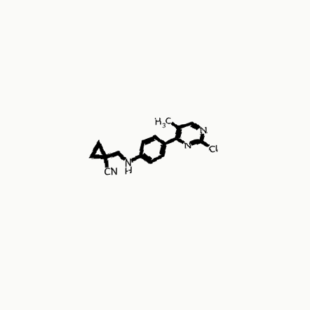 Cc1cnc(Cl)nc1-c1ccc(NCC2(C#N)CC2)cc1